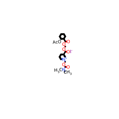 CC(=O)Oc1ccccc1C(=O)OCOC(=O)c1ccc[n+](COC(=O)N(C)C)c1.[I-]